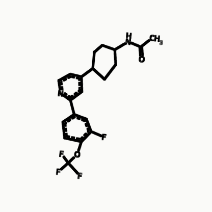 CC(=O)NC1CCC(c2ccnc(-c3ccc(OC(F)(F)F)c(F)c3)c2)CC1